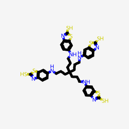 Sc1nc2ccc(NCCCC(CCCNc3ccc4nc(S)sc4c3)(CCCNc3ccc4nc(S)sc4c3)CCCNc3ccc4nc(S)sc4c3)cc2s1